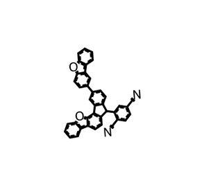 N#Cc1ccc(C#N)c(C2c3ccc(-c4ccc5oc6ccccc6c5c4)cc3-c3c2ccc2c3oc3ccccc32)c1